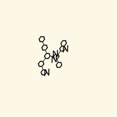 c1ccc(-c2ccc(-c3cc(-c4cccc(-c5cccnc5)c4)cc(-c4nc(-c5ccccc5)cc(-c5cnc6ccccc6c5)n4)c3)cc2)cc1